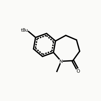 CN1C(=O)CCCc2cc(C(C)(C)C)ccc21